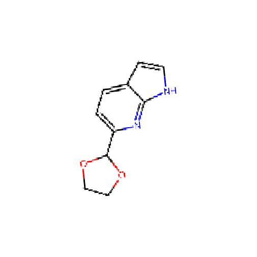 c1cc2ccc(C3OCCO3)nc2[nH]1